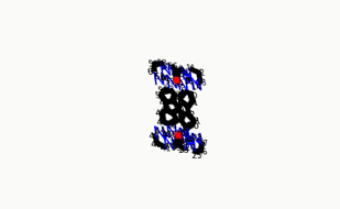 c1cc2c(cc1N1CCCN3CCCN=C31)C1(c3cc(N4CCCN5CCCN=C54)ccc3-2)c2cc(N3CCCN4CCCN=C43)ccc2-c2ccc(N3CCCN4CCCN=C43)cc21